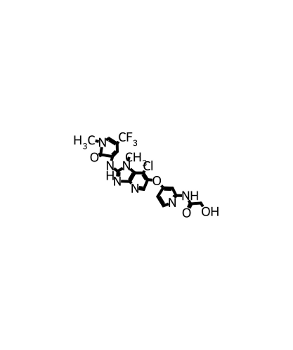 Cn1cc(C(F)(F)F)cc(Nc2nc3ncc(Oc4ccnc(NC(=O)CO)c4)c(Cl)c3n2C)c1=O